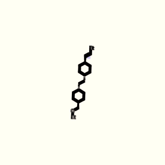 CC/C=C/[C@H]1CC[C@H](CC[C@H]2CC[C@H](COCC)CC2)CC1